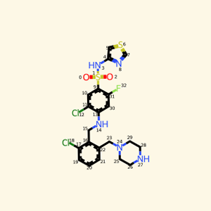 O=S(=O)(Nc1cscn1)c1cc(Cl)c(NCc2c(Cl)cccc2CN2CCNCC2)cc1F